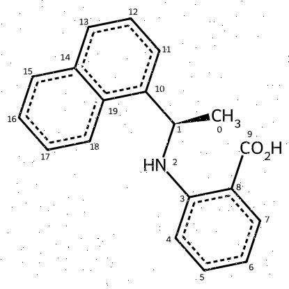 C[C@@H](Nc1ccccc1C(=O)O)c1cccc2ccccc12